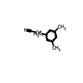 CC#N.Cc1cc(C)cc(C)c1